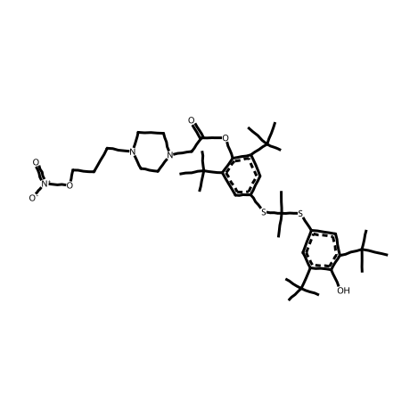 CC(C)(Sc1cc(C(C)(C)C)c(O)c(C(C)(C)C)c1)Sc1cc(C(C)(C)C)c(OC(=O)CN2CCN(CCCO[N+](=O)[O-])CC2)c(C(C)(C)C)c1